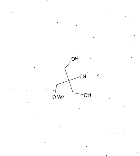 COCC(C#N)(CO)CO